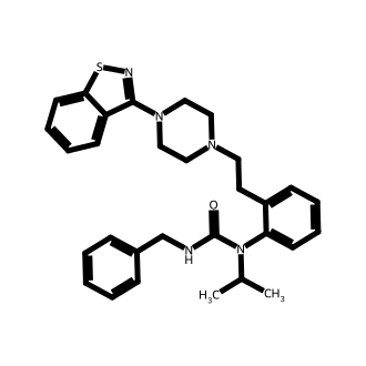 CC(C)N(C(=O)NCc1ccccc1)c1ccccc1CCN1CCN(c2nsc3ccccc23)CC1